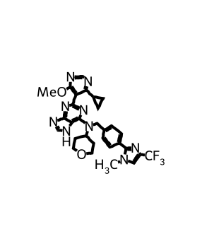 COc1ncnc(C2CC2)c1-c1nc(N(Cc2ccc(-c3nc(C(F)(F)F)cn3C)cc2)C2CCOCC2)c2[nH]cnc2n1